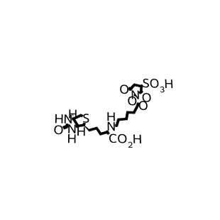 O=C1N[C@H]2[C@H](CS[C@H]2CCCC(NCCCCCC(=O)ON2C(=O)CC(S(=O)(=O)O)C2=O)C(=O)O)N1